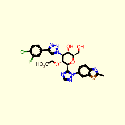 Cc1nc2ccc(-n3ncnc3[C@@H]3O[C@H](CO)[C@H](O)[C@H](n4cc(-c5ccc(Cl)c(F)c5)nn4)[C@H]3OCC(=O)O)cc2s1